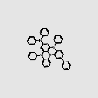 C1=CCC(N2c3ccccc3B3c4cc(-c5ccccc5)ccc4N(c4ccccc4)c4cc(N(c5ccccc5)c5ccccc5)cc2c43)C=C1